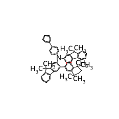 CC1(C)CCC(C)(C)c2cc(-c3cc4c(cc3N(c3ccc(-c5ccccc5)cc3)c3ccc5c(c3)C(C)(C)c3ccccc3-5)C(C)(C)c3ccccc3-4)ccc21